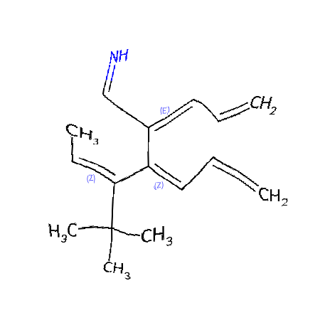 C=C/C=C(C(=C\C)/C(C)(C)C)\C(C=N)=C/C=C